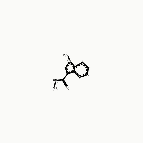 Cn1cc(C(=O)NN)c2ccccc21